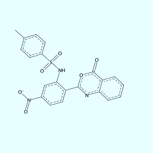 Cc1ccc(S(=O)(=O)Nc2cc([N+](=O)[O-])ccc2-c2nc3ccccc3c(=O)o2)cc1